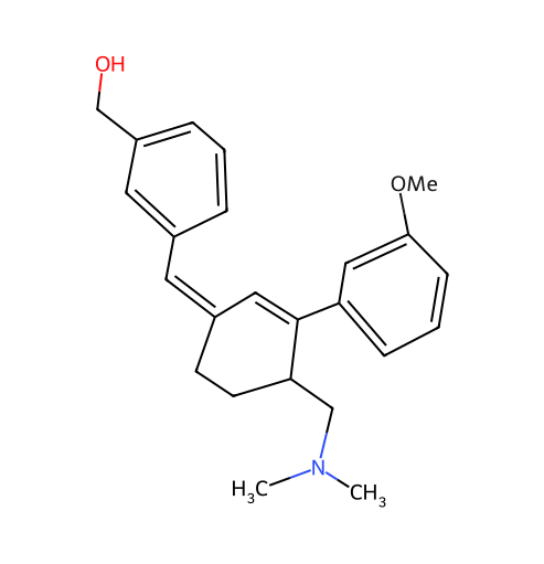 COc1cccc(C2=C/C(=C\c3cccc(CO)c3)CCC2CN(C)C)c1